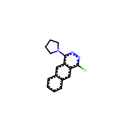 Clc1nnc(N2CCCC2)c2cc3ccccc3cc12